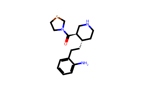 Nc1ccccc1CC[C@H]1CCNC[C@@H]1C(=O)N1CCSC1